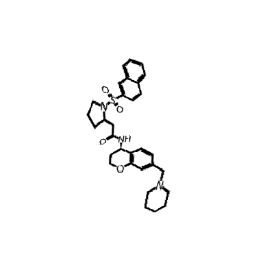 O=C(CC1CCCN1S(=O)(=O)c1ccc2ccccc2c1)N[C@@H]1CCOc2cc(CN3CCCCC3)ccc21